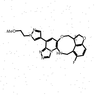 COCCn1cc(-c2cc3c(n4cnnc24)NCc2c(F)ccc4c2[C@@H](CO4)CO3)cn1